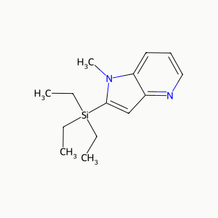 CC[Si](CC)(CC)c1cc2ncccc2n1C